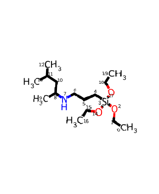 CCO[Si](CCCNC(C)CC(C)C)(OCC)OCC